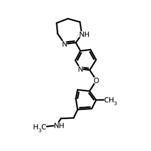 CNCCc1ccc(Oc2ccc(C3=NCCCCN3)cn2)c(C)c1